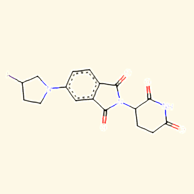 O=C1CCC(N2C(=O)c3ccc(N4CCC(I)C4)cc3C2=O)C(=O)N1